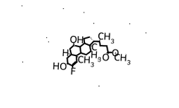 COC(=O)CC[C@@H](C)[C@H]1CCC2C3C(CC[C@@]21C)[C@@]1(C)C=C(F)[C@@H](O)C[C@H]1C[C@H]3O